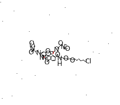 [N-]=[N+]=C1C(=O)c2ccc(C(=O)NCCOCCOCCCCCCCl)cc2C12c1ccc(N3CC(C(=O)N4CCOCC4)C3)cc1Oc1cc(N3CC(C(=O)N4CCOCC4)C3)ccc12